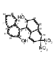 O=[N+]([O-])C1([N+](=O)[O-])C=CC2=C(c3c(O)ccc4ccccc34)C(O)C=CC2=C1